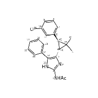 CC(=O)Nc1nc([C@@H]2[C@@H](c3cccc(Cl)c3)C2(C)C)c(-c2ccccc2)[nH]1